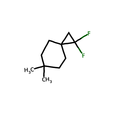 CC1(C)CCC2(CC1)CC2(F)F